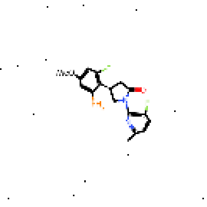 COc1cc(F)c([C@H]2CC(=O)N(c3nc(C)ccc3F)C2)c(P)c1